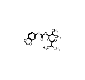 CC(C)C(=O)OC(OC(=O)Oc1ccc2c(c1)OCO2)C(C)C